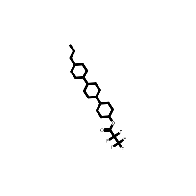 CCCC1CCC(C2CCC(C3CCC(OC(=O)C(F)(F)C(F)(F)F)CC3)CC2)CC1